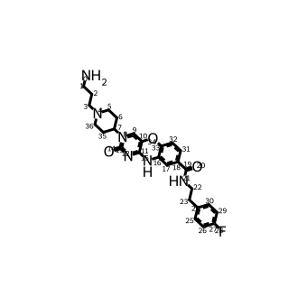 NCCCN1CCC(n2cc3c(nc2=O)Nc2cc(C(=O)NCCc4ccc(F)cc4)ccc2O3)CC1